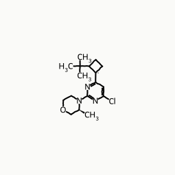 C[C@H]1COCCN1c1nc(Cl)cc([C]2CCC2C(C)(C)C)n1